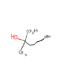 CC(C)(C)CC(O)(C(=O)O)C(F)(F)F